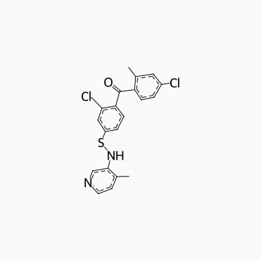 Cc1ccncc1NSc1ccc(C(=O)c2ccc(Cl)cc2C)c(Cl)c1